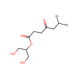 CCC(CC)CC(=O)CCC(=O)OC(CO)CO